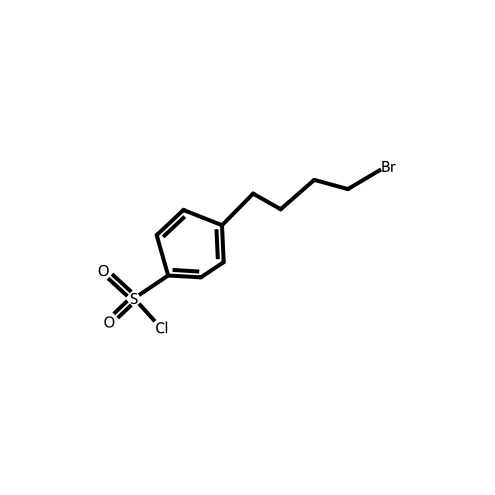 O=S(=O)(Cl)c1ccc(CCCCBr)cc1